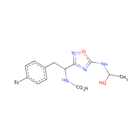 CCc1ccc(CC(NC(=O)O)c2noc(NC(C)O)n2)cc1